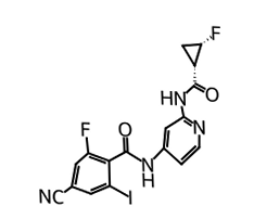 N#Cc1cc(F)c(C(=O)Nc2ccnc(NC(=O)[C@@H]3C[C@@H]3F)c2)c(I)c1